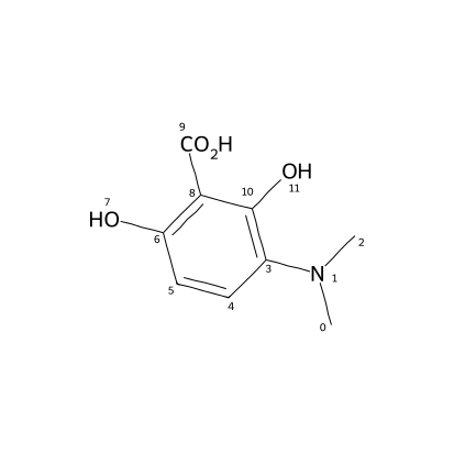 CN(C)c1ccc(O)c(C(=O)O)c1O